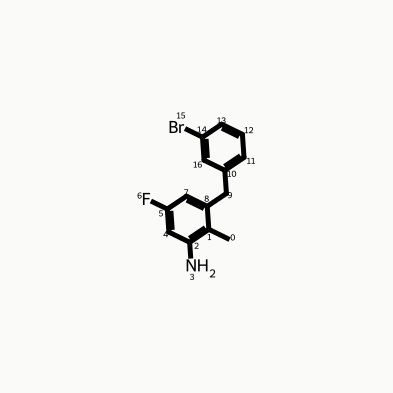 Cc1c(N)cc(F)cc1Cc1cccc(Br)c1